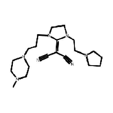 CN1CCN(CCCN2CCN(CCN3CCCC3)C2=C(C#N)C#N)CC1